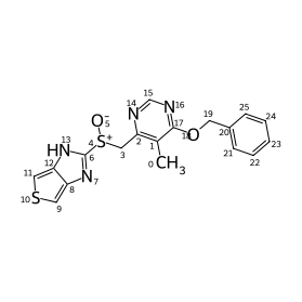 Cc1c(C[S+]([O-])c2nc3cscc3[nH]2)ncnc1OCc1ccccc1